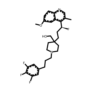 COc1ccc2ncc(C)c([C@@H](F)CCC3(CO)CCN(CCCc4cc(F)c(F)c(F)c4)CC3)c2c1